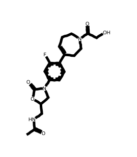 CC(=O)NCC1CN(c2ccc(C3=CCCN(C(=O)CO)CC3)c(F)c2)C(=O)O1